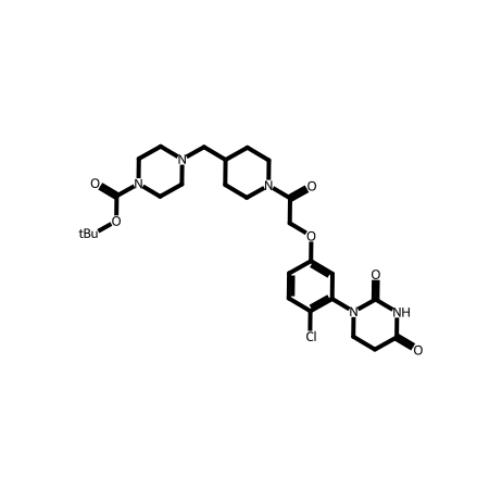 CC(C)(C)OC(=O)N1CCN(CC2CCN(C(=O)COc3ccc(Cl)c(N4CCC(=O)NC4=O)c3)CC2)CC1